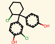 Oc1ccc(C2(c3ccc(O)c(Cl)c3)CCCCC2Cl)cc1